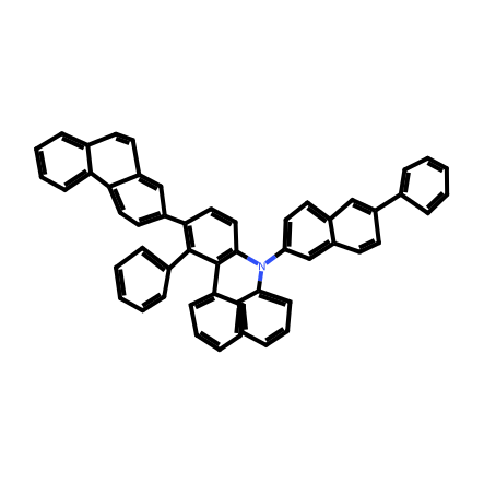 c1ccc(-c2ccc3cc(N(c4ccccc4)c4ccc(-c5ccc6c(ccc7ccccc76)c5)c(-c5ccccc5)c4-c4ccccc4)ccc3c2)cc1